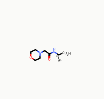 CC(C)[C@H](NC(=O)CN1CCOCC1)C(=O)O